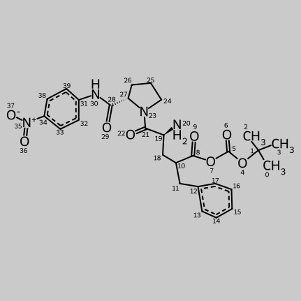 CC(C)(C)OC(=O)OC(=O)C(Cc1ccccc1)C[C@H](N)C(=O)N1CCC[C@H]1C(=O)Nc1ccc([N+](=O)[O-])cc1